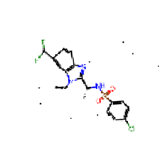 CCn1c([C@@H](C)NS(=O)(=O)c2ccc(Cl)cc2)nc2ccc(C(F)F)cc21